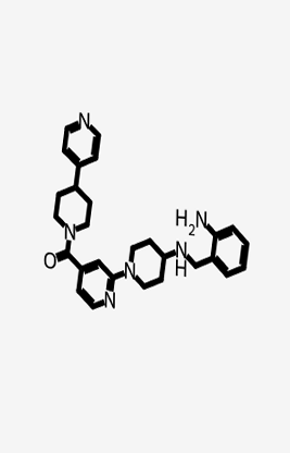 Nc1ccccc1CNC1CCN(c2cc(C(=O)N3CCC(c4ccncc4)CC3)ccn2)CC1